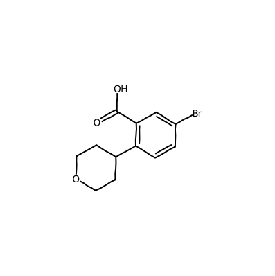 O=C(O)c1cc(Br)ccc1C1CCOCC1